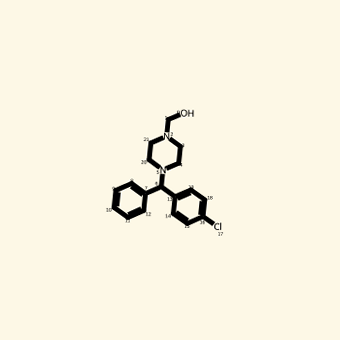 OCN1CCN(C(c2ccccc2)c2ccc(Cl)cc2)CC1